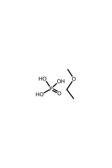 CCOC.O=P(O)(O)O